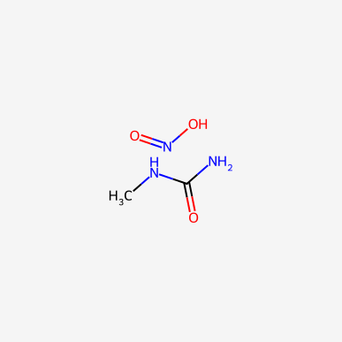 CNC(N)=O.O=NO